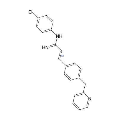 N=C(/C=C/c1ccc(Cc2ccccn2)cc1)Nc1ccc(Cl)cc1